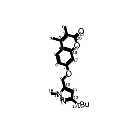 Cc1c(C)c2ccc(OCc3cc(C(C)(C)C)nn3C)cc2oc1=O